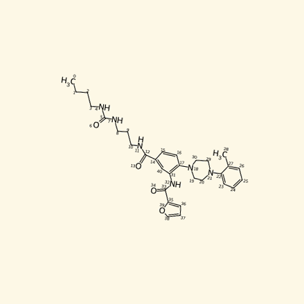 CCCCNC(=O)NCCCNC(=O)c1ccc(N2CCN(c3ccccc3C)CC2)c(NC(=O)c2ccco2)c1